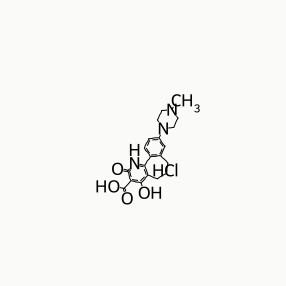 CN1CCN(c2ccc3c(c2)CCCc2c-3[nH]c(=O)c(C(=O)O)c2O)CC1.Cl